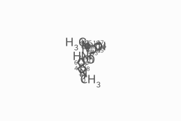 CCN1CCc2ccc(NC(=O)C=Cc3cnccc3-c3cnn(C)c3)cc2C1